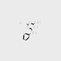 CC1N=C(N)NC(Nc2ccccc2)=N1